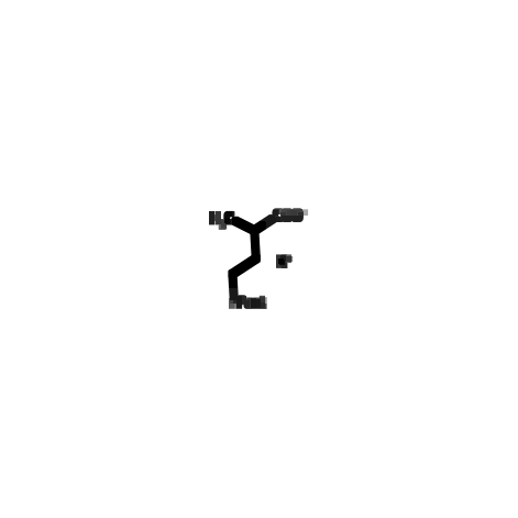 CCCCCCCC(C)C(=O)[O-].[K+]